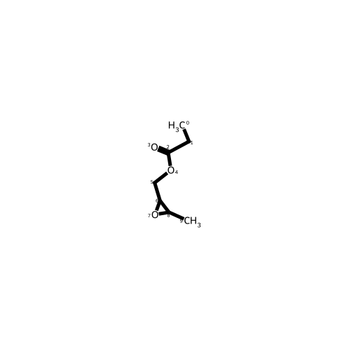 CCC(=O)OCC1OC1C